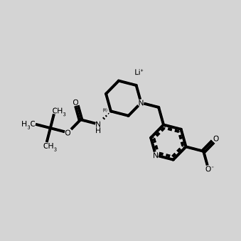 CC(C)(C)OC(=O)N[C@@H]1CCCN(Cc2cncc(C(=O)[O-])c2)C1.[Li+]